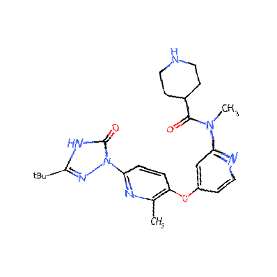 Cc1nc(-n2nc(C(C)(C)C)[nH]c2=O)ccc1Oc1ccnc(N(C)C(=O)C2CCNCC2)c1